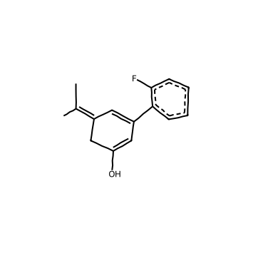 CC(C)=C1C=C(c2ccccc2F)C=C(O)C1